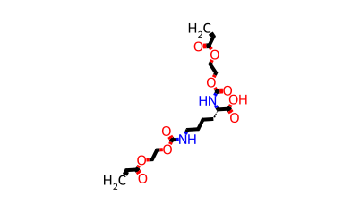 C=CC(=O)OCCOC(=O)NCCCC[C@H](NC(=O)OCCOC(=O)C=C)C(=O)O